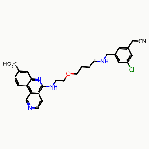 N#CCc1cc(Cl)cc(CNCCCCOCCNc2nc3cc(C(=O)O)ccc3c3cnccc23)c1